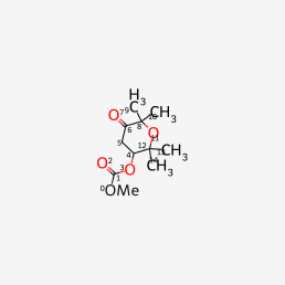 COC(=O)OC1CC(=O)C(C)(C)OC1(C)C